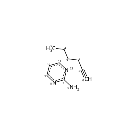 C#CCCCC.Nc1ncccn1